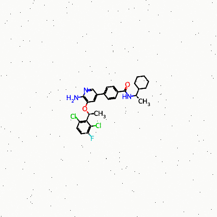 C[C@H](Oc1cc(-c2ccc(C(=O)N[C@H](C)C3CCCCC3)cc2)cnc1N)c1c(Cl)ccc(F)c1Cl